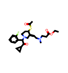 CCOC(=O)CCN(C)C/C=C1\CN(C(C(=O)C2CC2)c2ccccc2F)CCC1SC(C)=O